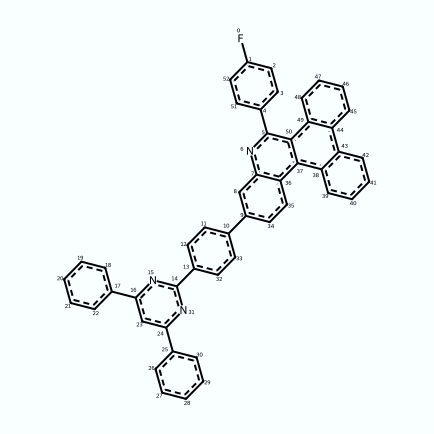 Fc1ccc(-c2nc3cc(-c4ccc(-c5nc(-c6ccccc6)cc(-c6ccccc6)n5)cc4)ccc3c3c4ccccc4c4ccccc4c23)cc1